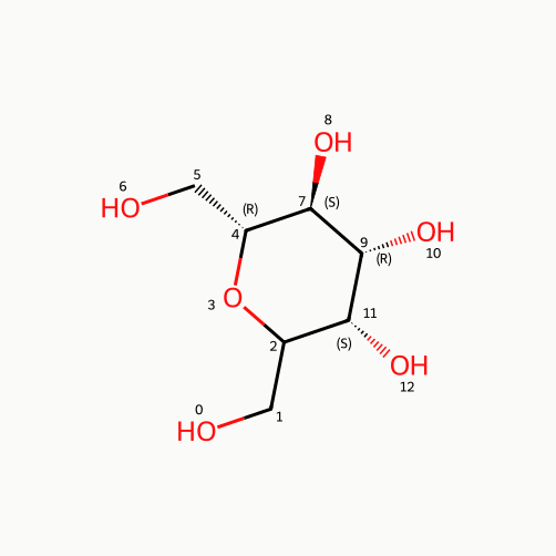 OCC1O[C@H](CO)[C@@H](O)[C@H](O)[C@@H]1O